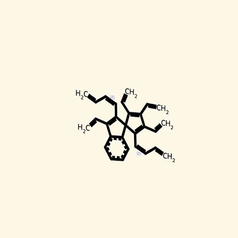 C=C/C=C\C1=C(C=C)C(C=C)=C(C=C)C12C(/C=C\C=C)=C(C=C)c1ccccc12